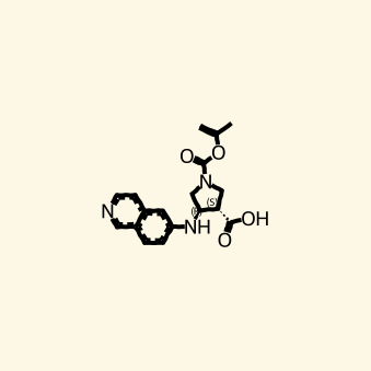 C=C(C)OC(=O)N1C[C@H](Nc2ccc3cnccc3c2)[C@@H](C(=O)O)C1